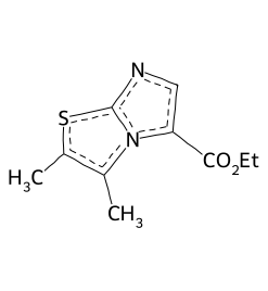 CCOC(=O)c1cnc2sc(C)c(C)n12